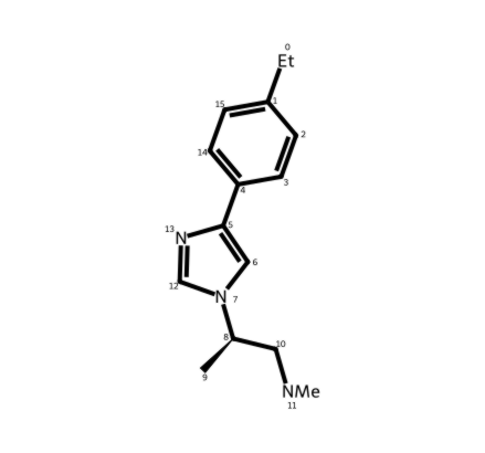 CCc1ccc(-c2cn([C@H](C)CNC)cn2)cc1